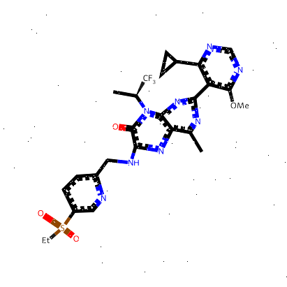 CCS(=O)(=O)c1ccc(CNc2nc3c(C)nc(-c4c(OC)ncnc4C4CC4)nc3n([C@@H](C)C(F)(F)F)c2=O)nc1